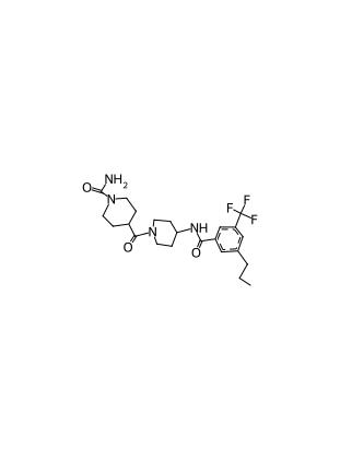 CCCc1cc(C(=O)NC2CCN(C(=O)C3CCN(C(N)=O)CC3)CC2)cc(C(F)(F)F)c1